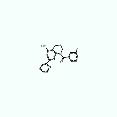 Cc1cccc(C(=O)N2CCCc3c(O)nc(-c4ccccn4)nc32)c1